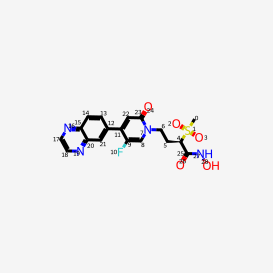 CS(=O)(=O)[C@H](CCn1cc(F)c(-c2ccc3nccnc3c2)cc1=O)C(=O)NO